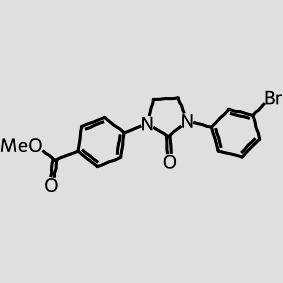 COC(=O)c1ccc(N2CCN(c3cccc(Br)c3)C2=O)cc1